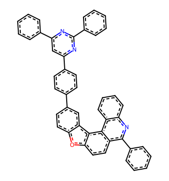 c1ccc(-c2cc(-c3ccc(-c4ccc5oc6ccc7c(-c8ccccc8)nc8ccccc8c7c6c5c4)cc3)nc(-c3ccccc3)n2)cc1